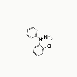 NN(c1ccccc1)c1ccccc1Cl